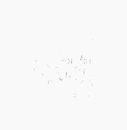 COc1cccc(-c2c3n(c(=O)n(CC(N)c4ccccc4)c2=O)C(c2c(F)cccc2F)CO3)c1Cl